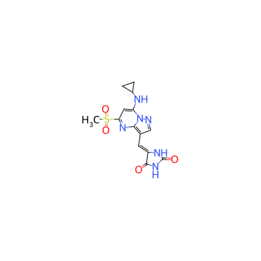 CS(=O)(=O)c1cc(NC2CC2)n2ncc(/C=C3\NC(=O)NC3=O)c2n1